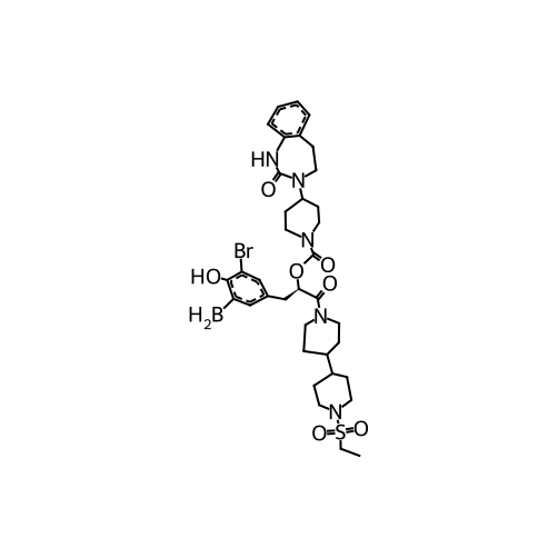 Bc1cc(C[C@@H](OC(=O)N2CCC(N3CCc4ccccc4NC3=O)CC2)C(=O)N2CCC(C3CCN(S(=O)(=O)CC)CC3)CC2)cc(Br)c1O